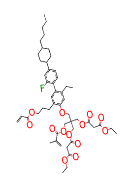 C=CC(=O)OCCCc1cc(-c2ccc(C3CCC(CCCCC)CC3)cc2F)c(CC)cc1OCC(COC(=O)CC(=O)OCC)(COC(=O)CC(=O)OCC)COC(=O)C(=C)C